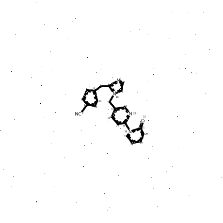 N#Cc1ccc(Cc2nccn2Cc2ccc(-n3ccccc3=O)nc2)cc1